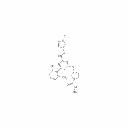 Cc1cccc(C)c1-c1cc(OC2CCN(C(=O)NC(C)(C)C)C2)nc(NSc2cnn(C)c2)n1